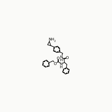 NC1CC1c1ccc(CNC(=O)C(Cc2ccccc2)NC(=O)OCc2ccccc2)cc1